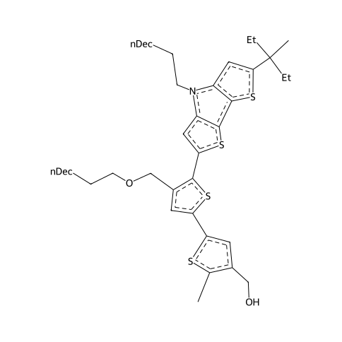 CCCCCCCCCCCCOCc1cc(-c2cc(CO)c(C)s2)sc1-c1cc2c(s1)c1sc(C(C)(CC)CC)cc1n2CCCCCCCCCCCC